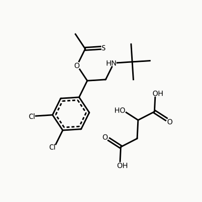 CC(=S)OC(CNC(C)(C)C)c1ccc(Cl)c(Cl)c1.O=C(O)CC(O)C(=O)O